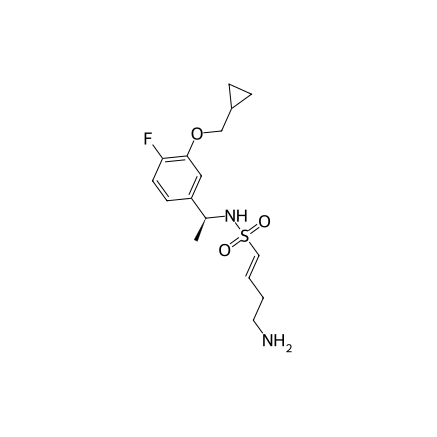 C[C@H](NS(=O)(=O)/C=C/CCN)c1ccc(F)c(OCC2CC2)c1